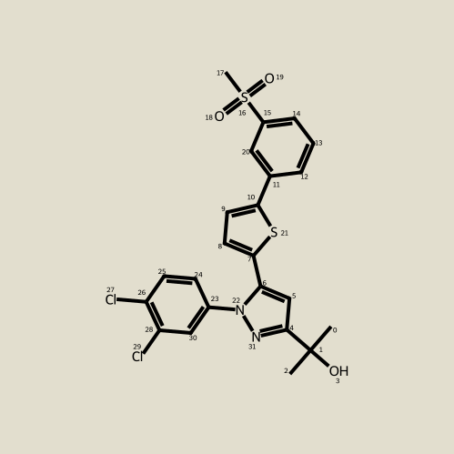 CC(C)(O)c1cc(-c2ccc(-c3cccc(S(C)(=O)=O)c3)s2)n(-c2ccc(Cl)c(Cl)c2)n1